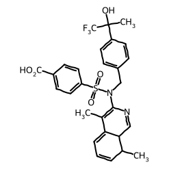 CC1=C(N(Cc2ccc(C(C)(O)C(F)(F)F)cc2)S(=O)(=O)c2ccc(C(=O)O)cc2)N=CC2C1=CC=CC2C